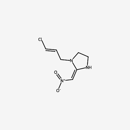 O=[N+]([O-])C=C1NCCN1CC=CCl